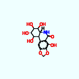 O=C1N[C@@H]2C(c3cc4c(c(O)c31)OCO4)[C@@H](O)[C@H](O)[C@@H](O)[C@H]2O